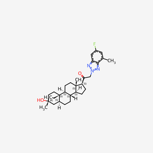 CC[C@]12CC[C@@](C)(O)C[C@@H]1CC[C@H]1[C@@H]3CC[C@H](C(=O)Cn4nc5cc(F)cc(C)c5n4)[C@@]3(C)CC[C@@H]12